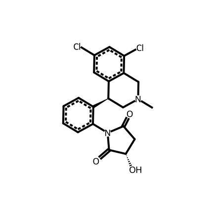 CN1Cc2c(Cl)cc(Cl)cc2[C@H](c2ccccc2N2C(=O)C[C@H](O)C2=O)C1